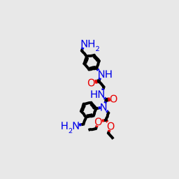 CCOC(CN(C(=O)NCC(=O)Nc1ccc(CN)cc1)c1cccc(CN)c1)OCC